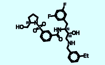 CCc1cccc(CNC[C@H](O)[C@H](Cc2cc(F)cc(F)c2)NC(=O)c2cccc(S(=O)(=O)N3CCC[C@@H]3CO)c2)c1